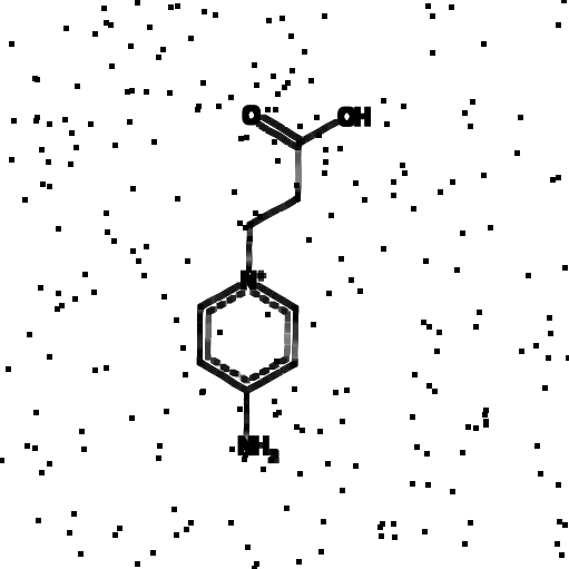 Nc1cc[n+](CCC(=O)O)cc1